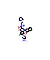 NC1CCN(c2c(F)cc3c(=O)c(C(=O)NCCN4CCCCC4)cn4c3c2Oc2cc3ccccc3cc2-4)C1